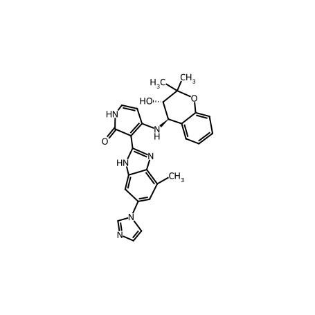 Cc1cc(-n2ccnc2)cc2[nH]c(-c3c(N[C@@H]4c5ccccc5OC(C)(C)[C@H]4O)cc[nH]c3=O)nc12